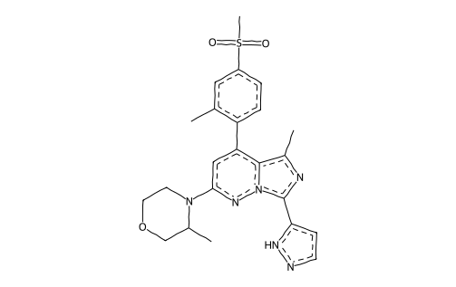 Cc1cc(S(C)(=O)=O)ccc1-c1cc(N2CCOCC2C)nn2c(-c3ccn[nH]3)nc(C)c12